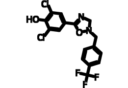 Oc1c(Cl)cc(C2=NCN(Cc3ccc(C(F)(F)F)cc3)O2)cc1Cl